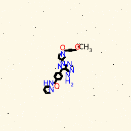 COCC#CC(=O)N1CC[C@@H](n2nc(-c3ccc(C(=O)Nc4ccccn4)cc3)c3c(N)ncnc32)C1